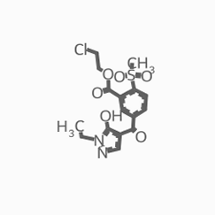 CCn1ncc(C(=O)c2ccc(S(C)(=O)=O)c(C(=O)OCCCl)c2)c1O